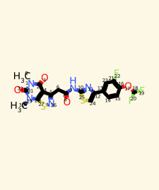 Cn1c(=O)c2c(CC(=O)Nc3nc(-c4ccc(OC(F)F)c(F)c4)cs3)nsc2n(C)c1=O